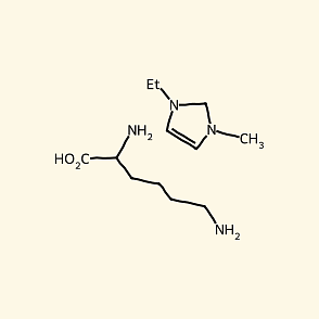 CCN1C=CN(C)C1.NCCCCC(N)C(=O)O